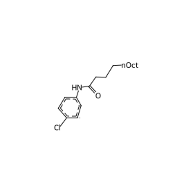 CCCCCCCCCCCC(=O)Nc1c[c]c(Cl)cc1